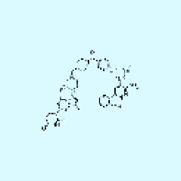 Cc1cn([C@@H]2CCN(CC3CCN(C(=O)c4ccc([C@H]5CN(c6cc(-c7ccccc7O)nnc6N)[C@@H](C)[C@@H](C)O5)cc4)CC3)C[C@H]2F)c2ncc(N3CCC(=O)NC3=O)cc12